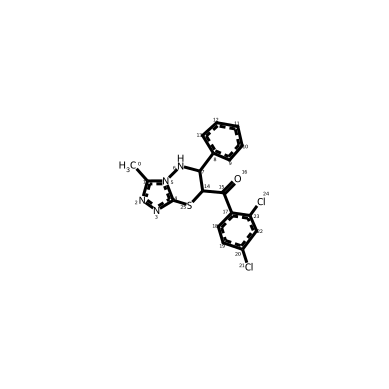 Cc1nnc2n1NC(c1ccccc1)C(C(=O)c1ccc(Cl)cc1Cl)S2